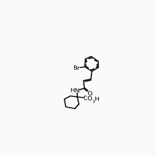 O=C(/C=C/c1ccccc1Br)NC1(C(=O)O)CCCCC1